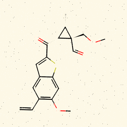 C=Cc1cc2cc(C(=O)[C@@H]3[C@H](C)[C@@]3(C=O)COC)sc2cc1OC